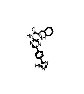 O=C1Nc2ncc(-c3ccc(-c4ncn[nH]4)cc3)nc2N[C@@H]1CC1CCCCC1